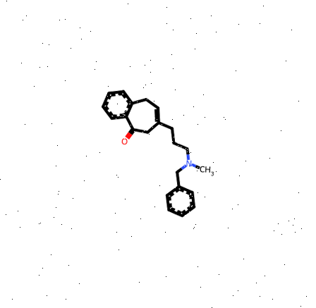 CN(CCCC1=CCc2ccccc2C(=O)C1)Cc1ccccc1